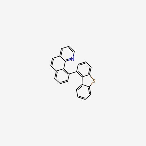 c1cnc2c(c1)ccc1cccc(-c3cccc4sc5ccccc5c34)c12